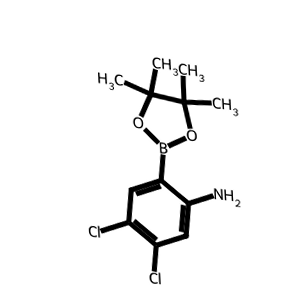 CC1(C)OB(c2cc(Cl)c(Cl)cc2N)OC1(C)C